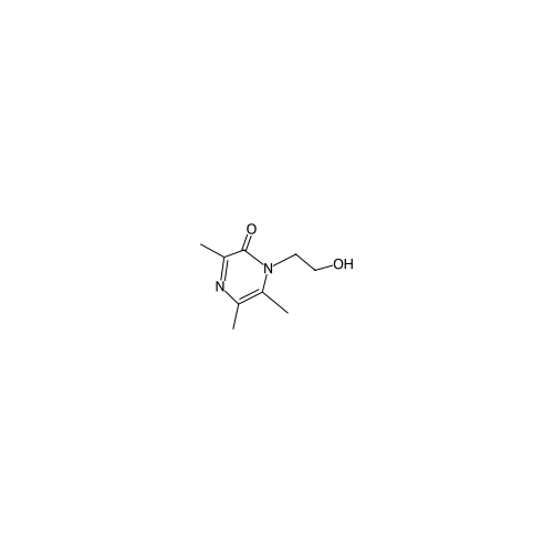 Cc1nc(C)c(=O)n(CCO)c1C